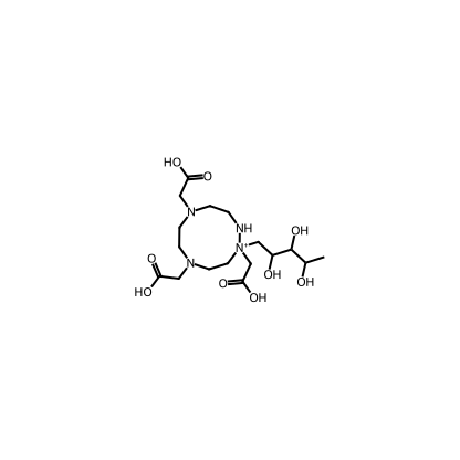 CC(O)C(O)C(O)C[N+]1(CC(=O)O)CCN(CC(=O)O)CCN(CC(=O)O)CCN1